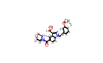 COc1cccc(Cn2cc(C=O)c3cc(C(=O)N4CCOCC4)ccc32)c1